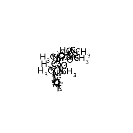 Cc1c(C(=O)N2C[C@H](C)N(Cc3ccc(F)cc3)C[C@H]2C)c2cc(C(=O)C(=O)N(C)C(C)C)ccc2n1C